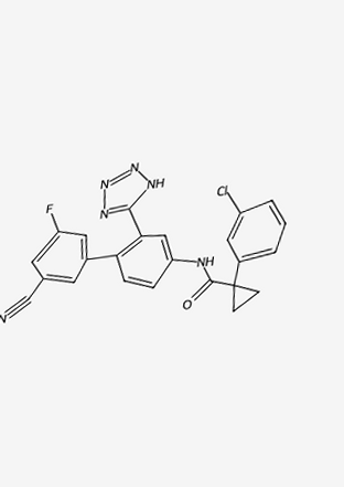 N#Cc1cc(F)cc(-c2ccc(NC(=O)C3(c4cccc(Cl)c4)CC3)cc2-c2nnn[nH]2)c1